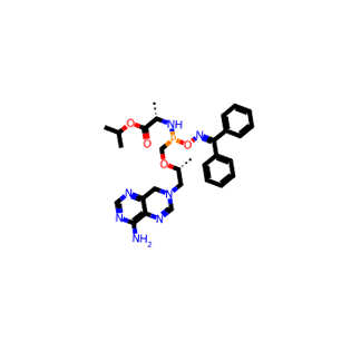 CC(C)OC(=O)[C@H](C)NP(CO[C@H](C)CN1C=Nc2c(N)ncnc2C1)ON=C(c1ccccc1)c1ccccc1